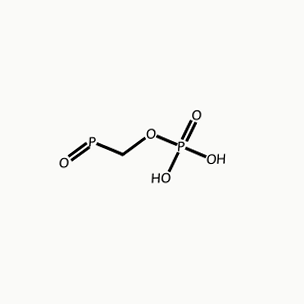 O=PCOP(=O)(O)O